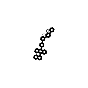 c1ccc2c(-c3c4ccccc4c(-c4ccc(-c5ccc6oc7c(ccc8c9ccccc9oc87)c6c5)cc4)c4ccccc34)cccc2c1